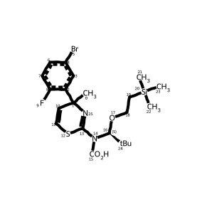 CC1(c2cc(Br)ccc2F)C=CSC(N(C(=O)O)[C@@H](OCC[Si](C)(C)C)C(C)(C)C)=N1